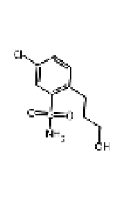 NS(=O)(=O)c1cc(Cl)ccc1CCCO